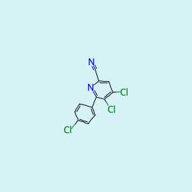 N#Cc1cc(Cl)c(Cl)c(-c2ccc(Cl)cc2)n1